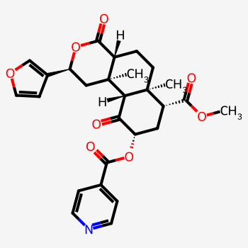 COC(=O)[C@@H]1C[C@H](OC(=O)c2ccncc2)C(=O)[C@H]2[C@@]1(C)CC[C@H]1C(=O)O[C@H](c3ccoc3)C[C@]21C